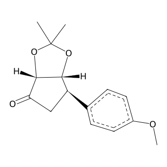 COc1ccc([C@H]2CC(=O)[C@@H]3OC(C)(C)O[C@H]23)cc1